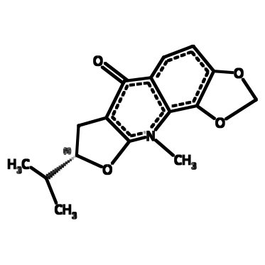 CC(C)[C@@H]1Cc2c(n(C)c3c4c(ccc3c2=O)OCO4)O1